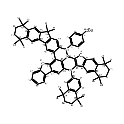 CC(C)(C)c1ccc(N2B3c4oc5cc6c(cc5c4N(c4ccc5c(c4)C(C)(C)CCC5(C)C)c4cc5c(oc7ccccc75)c(c43)-c3cc4c(cc32)C(C)(C)c2cc3c(cc2-4)C(C)(C)CCC3(C)C)C(C)(C)CCC6(C)C)cc1